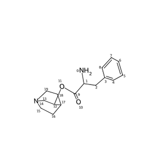 NC(Cc1ccccc1)C(=O)OC1CN2CCC1CC2